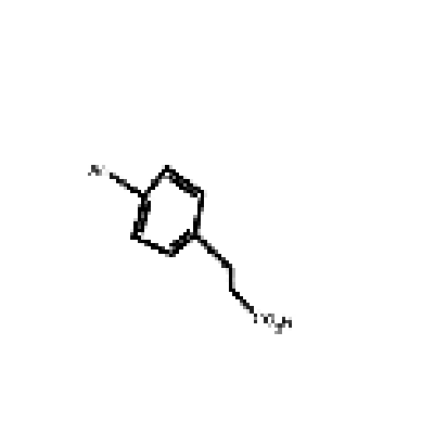 CC(=O)c1ccc(CCC(=O)O)cc1